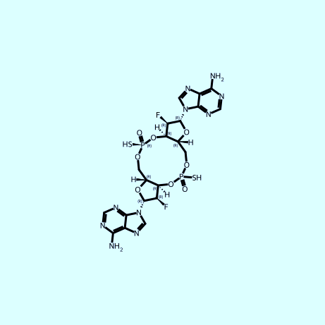 Nc1ncnc2c1ncn2[C@@H]1O[C@@H]2CO[P@@](=O)(S)O[C@H]3[C@@H](F)[C@H](n4cnc5c(N)ncnc54)O[C@@H]3COP(=O)(S)O[C@H]2[C@H]1F